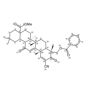 COC(=O)C12CCC(C)(C)CC1C1C(=O)C=C3[C@@]4(C)C=C(C#N)C(=O)[C@@](C)(COC(=O)c5ccccc5)C4CC[C@@]3(C)[C@]1(C)CC2